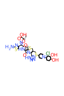 CC[C@H](O/N=C(\C(=O)N[C@@H]1C(=O)N2C(c3nnn[nH]3)=C(CSc3cc[n+](-c4ccc(O)c(O)c4Cl)cc3)CS[C@H]12)c1csc(N)n1)C(=O)O